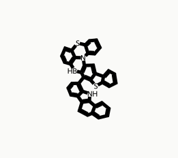 B1c2cccc3c2N(c2ccccc2S3)c2cc3c(sc4ccccc43)c(-c3cccc4c3[nH]c3c5ccccc5ccc43)c21